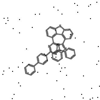 c1ccc(-c2ccc(-c3nc(-c4ccccc4)nc(-c4cccc5sc6cccc(-c7nc8ccccc8o7)c6c45)n3)cc2)cc1